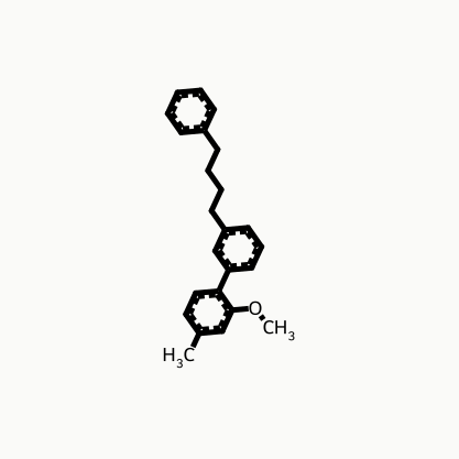 COc1cc(C)ccc1-c1cccc(CCCCc2ccccc2)c1